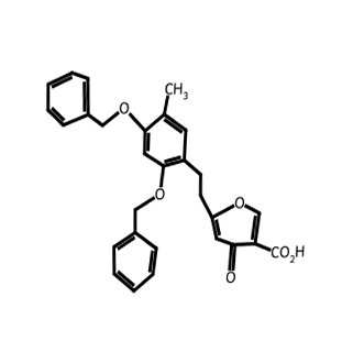 Cc1cc(CCc2cc(=O)c(C(=O)O)co2)c(OCc2ccccc2)cc1OCc1ccccc1